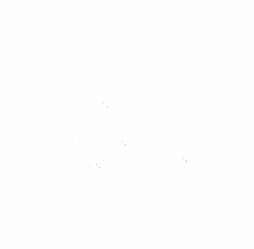 CC1CCc2cc3c(c(NC(O)N=S(N)(=O)c4cnc(C(C)(C)O)s4)c21)CCC3